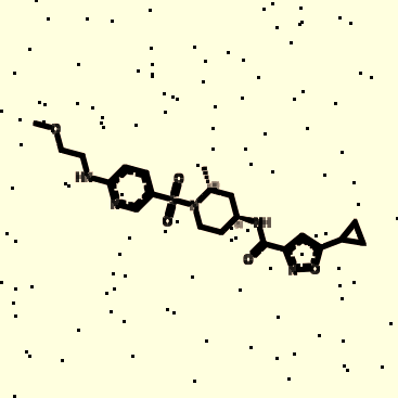 COCCNc1ccc(S(=O)(=O)N2CC[C@H](NC(=O)c3cc(C4CC4)on3)C[C@H]2C)cn1